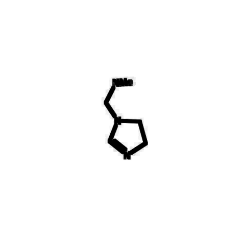 CNCN1C=NCC1